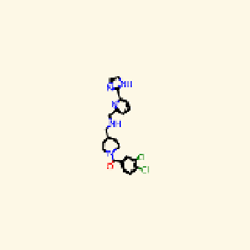 O=C(c1ccc(Cl)c(Cl)c1)N1CCC(CNCc2cccc(-c3ncc[nH]3)n2)CC1